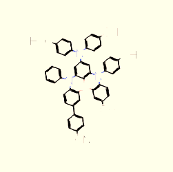 Cc1ccc(N(c2ccc(C)cc2)c2cc3c4c(c2)N(c2ccccc2)c2ccc(-c5ccc(C#N)cc5)cc2B4c2cc(C)ccc2N3c2ccc(C)cc2)cc1